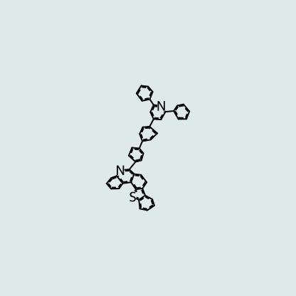 c1ccc(-c2cc(-c3ccc(-c4ccc(-c5nc6ccccc6c6c5ccc5c7ccccc7sc56)cc4)cc3)cc(-c3ccccc3)n2)cc1